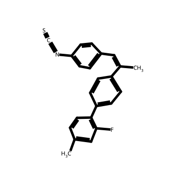 CC(=Cc1ccc(N=C=S)cc1)c1ccc(-c2ccc(C)cc2F)cc1